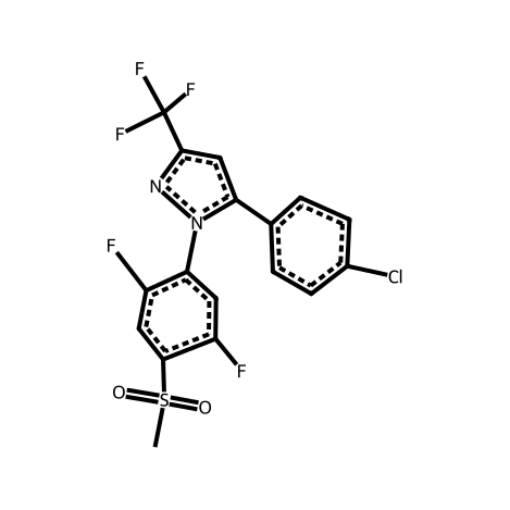 CS(=O)(=O)c1cc(F)c(-n2nc(C(F)(F)F)cc2-c2ccc(Cl)cc2)cc1F